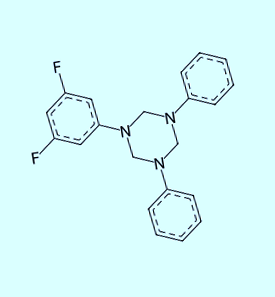 Fc1cc(F)cc(N2CN(c3ccccc3)CN(c3ccccc3)C2)c1